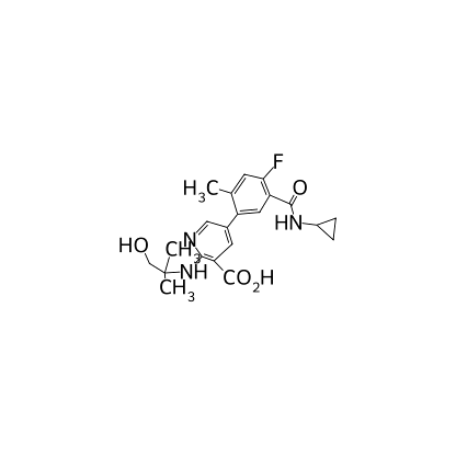 Cc1cc(F)c(C(=O)NC2CC2)cc1-c1cnc(NC(C)(C)CO)c(C(=O)O)c1